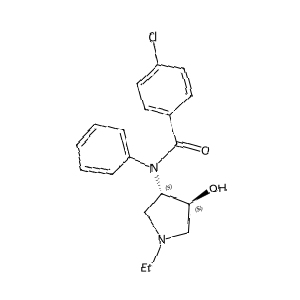 CCN1C[C@H](O)[C@@H](N(C(=O)c2ccc(Cl)cc2)c2ccccc2)C1